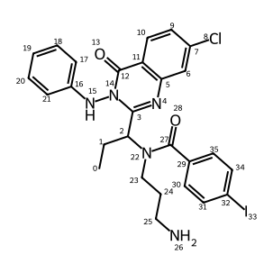 CCC(c1nc2cc(Cl)ccc2c(=O)n1Nc1ccccc1)N(CCCN)C(=O)c1ccc(I)cc1